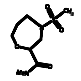 CNC(=O)C1CN(S(C)(=O)=O)CCCO1